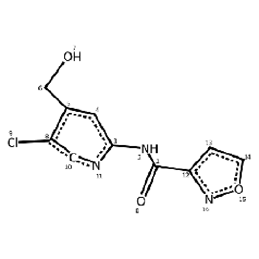 O=C(Nc1cc(CO)c(Cl)cn1)c1ccon1